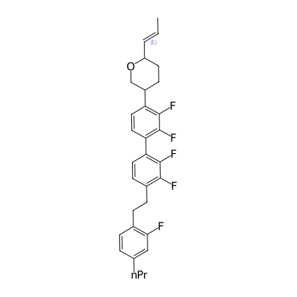 C/C=C/C1CCC(c2ccc(-c3ccc(CCc4ccc(CCC)cc4F)c(F)c3F)c(F)c2F)CO1